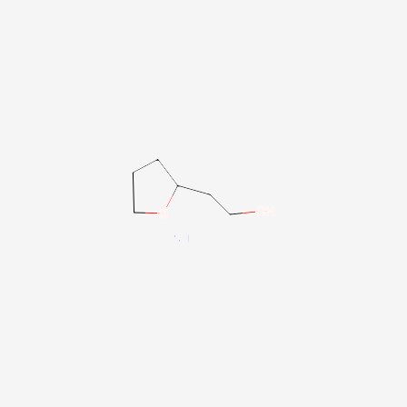 N.OCCC1CCCO1